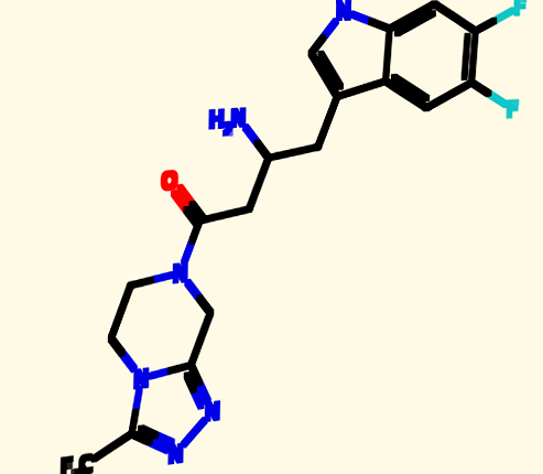 NC(CC(=O)N1CCn2c(nnc2C(F)(F)F)C1)Cc1c[nH]c2cc(F)c(F)cc12